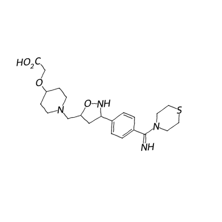 N=C(c1ccc(C2CC(CN3CCC(OCC(=O)O)CC3)ON2)cc1)N1CCSCC1